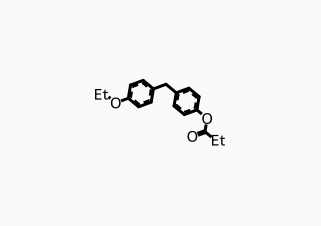 CCOc1ccc(Cc2ccc(OC(=O)CC)cc2)cc1